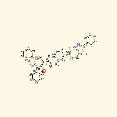 Cn1c(-c2ccccc2)nc2cc(-c3ccc4cc(-c5cc6c7ccccc7oc6c6c5oc5ccccc56)ccc4c3)ccc21